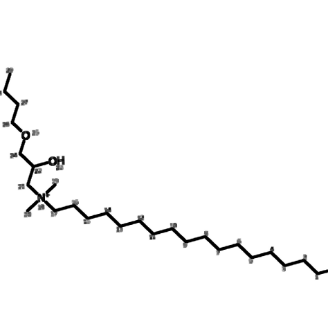 CCCCCCCCCCCCCCCCCC[N+](C)(C)CC(O)COCCCC